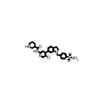 NS(=O)(=O)c1ccc(CN2CCc3ccc(-c4cc(NC(=O)C5CCCNC5)ncc4Cl)cc32)cc1